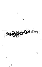 CCCCCCCCCCCOc1ccc(-c2ccc(-c3ncc(OC(=O)OC[C@@H](C)CC)cn3)cc2)cc1